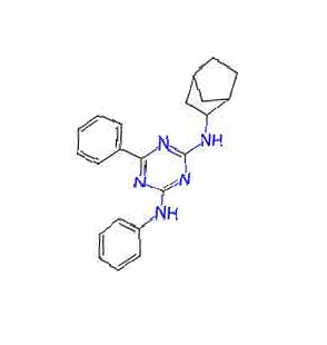 c1ccc(Nc2nc(NC3CC4CCC3C4)nc(-c3ccccc3)n2)cc1